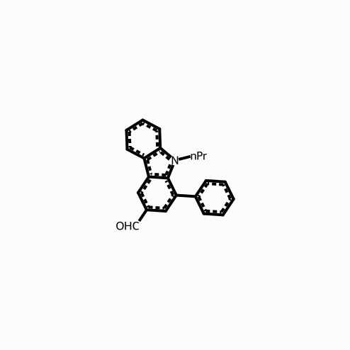 CCCn1c2ccccc2c2cc(C=O)cc(-c3ccccc3)c21